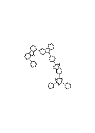 c1ccc(-c2nc(-c3ccccc3)nc(-c3ccc4nc(-c5ccc(-n6c7ccccc7c7cc(-c8cccc9c8sc8c(-c%10ccccc%10)cccc89)ccc76)cc5)oc4c3)n2)cc1